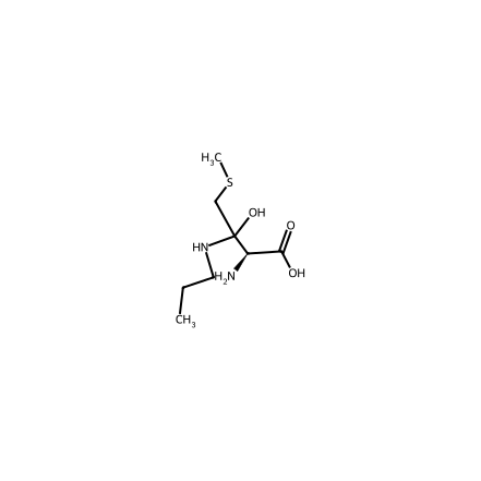 CCCNC(O)(CSC)[C@H](N)C(=O)O